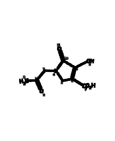 NC(=O)CN1CC(C(=O)O)=C(O)C1=O